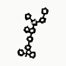 CC1(c2ccccc2)c2ccccc2-c2cc(-c3ccc(-c4ccc(-c5cc(-c6cccc(-c7ccccc7)c6)nc(-c6ccccc6)n5)c5ccccc45)cc3)ccc21